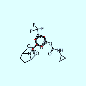 O=C(NC1CC1)Oc1cccc(C2=CC3CCC(C2)N3S(=O)(=O)c2cccc(C(F)(F)F)c2)n1